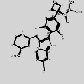 Cc1ccn2c(C[C@H]3CN(C(=O)O)CCO3)c(-c3c(F)cc(C4(N(C)[S+]([O-])C(C)(C)C)COC4)cc3F)nc2c1